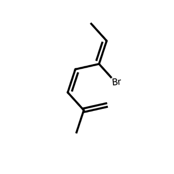 C=C(C)/C=C\C(Br)=C/C